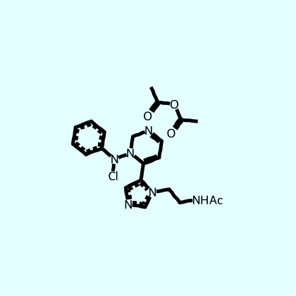 CC(=O)NCCn1cncc1C1=CC=NCN1N(Cl)c1ccccc1.CC(=O)OC(C)=O